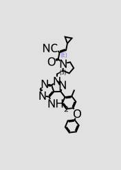 Cc1cc(Oc2ccccc2)ccc1-c1nn(C[C@@H]2CCCN2C(=O)/C(C#N)=C/C2CC2)c2ncnc(N)c12